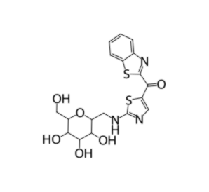 O=C(c1cnc(NCC2OC(CO)C(O)C(O)C2O)s1)c1nc2ccccc2s1